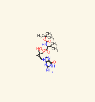 CC(C)C(NC(=O)OC(C)(C)C)C(=O)OC[C@]1(CO)C/C1=C/n1cnc2c(=O)[nH]c(N)nc21